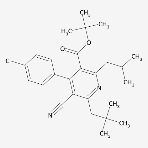 CC(C)Cc1nc(CC(C)(C)C)c(C#N)c(-c2ccc(Cl)cc2)c1C(=O)OC(C)(C)C